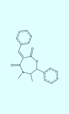 CC1C(c2ccccc2)OC(=O)C(=Cc2ccccc2)C(=O)N1C